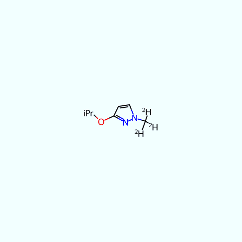 [2H]C([2H])([2H])n1ccc(OC(C)C)n1